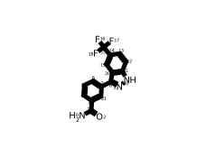 NC(=O)c1cccc(-c2n[nH]c3ccc(C(F)(F)F)cc23)c1